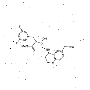 CNC(=O)C(Cc1cc(F)cc(F)c1)C(O)CNC1CCOc2ccc(CC(C)(C)C)cc21